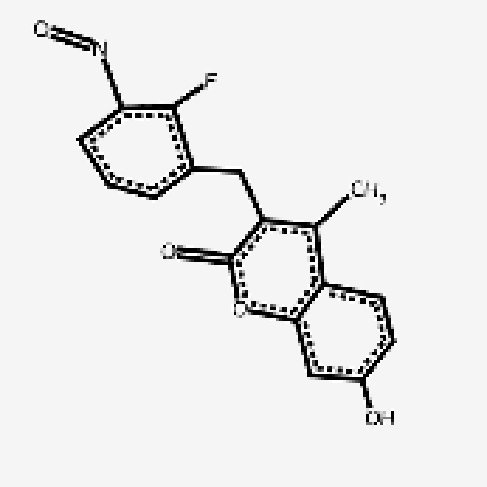 Cc1c(Cc2cccc(N=O)c2F)c(=O)oc2cc(O)ccc12